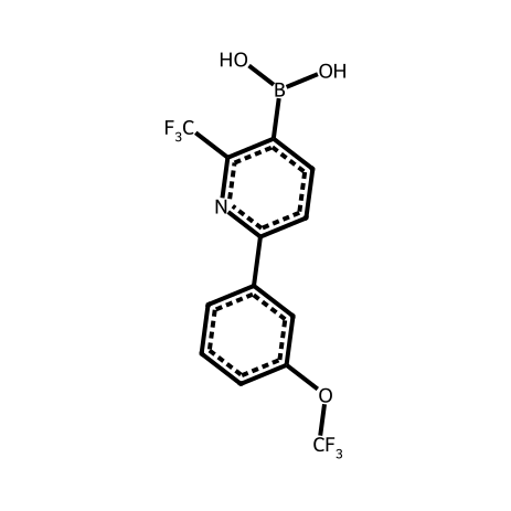 OB(O)c1ccc(-c2cccc(OC(F)(F)F)c2)nc1C(F)(F)F